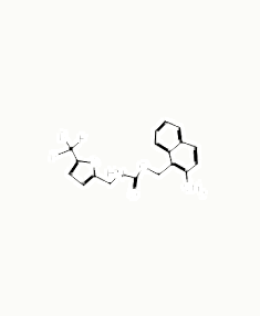 Cc1ccc2ccccc2c1COC(=O)NCc1ccc(C(F)(F)F)o1